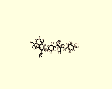 C=C(O)C1CCOc2cc(Oc3ccc(C(=O)NOCc4ccc(Cl)cc4)cc3)c(C#N)cc21